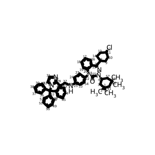 CC1(C)CC(N2N=C(C3CCC(Cl)CC3)c3ccccc3N(c3ccc(NCCc4nccn4C(c4ccccc4)(c4ccccc4)c4ccccc4)cc3)C2=O)CC(C)(C)C1